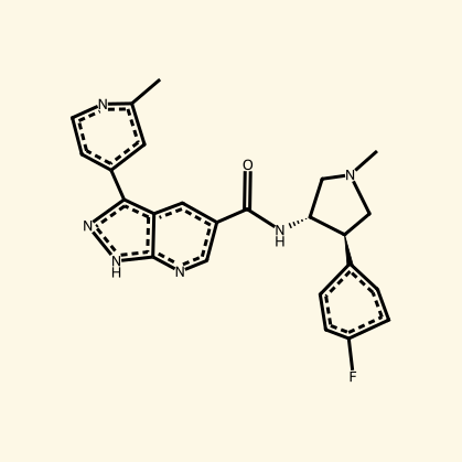 Cc1cc(-c2n[nH]c3ncc(C(=O)N[C@@H]4CN(C)C[C@H]4c4ccc(F)cc4)cc23)ccn1